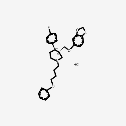 Cl.Fc1ccc([C@@H]2CCN(CCCCOc3ccccc3)C[C@H]2COc2ccc3c(c2)OCO3)cc1